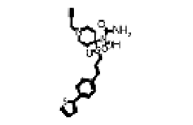 C#CCN1CCC(N(O)C(N)=O)(S(=O)(=O)CC=Cc2ccc(-c3cccs3)cc2)CC1